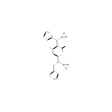 O=c1oc(C(Cc2ccsc2)C2CC2)cc(O)c1C(c1cccs1)C1CC1